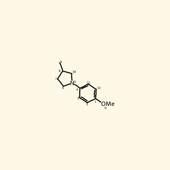 COc1ccc(N2CCC(C)C2)cc1